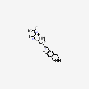 CC/C(F)=C(F)\C(F)=C/CCN(C=N)/C=C/c1cc2c(cc1F)CNCC2